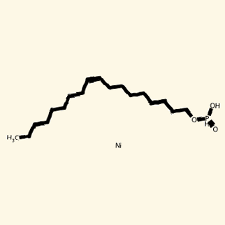 CCCCCCCC/C=C\CCCCCCCCO[PH](=O)O.[Ni]